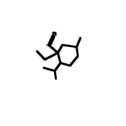 CCC1([C]=O)CC(C)CCC1C(C)C